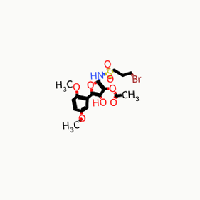 COc1ccc(OC)c(-c2oc(NS(=O)(=O)CCCBr)c(OC(C)=O)c2O)c1